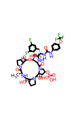 C[C@@H]1NC(O)[C@@H]2CCCCN2C(=O)[C@@H]2C[C@@H](OP(=O)(O)O)CN2C(=O)[C@@H](NC(O)[C@H](Cc2cc(F)cc(F)c2)NC(=O)Nc2ccc(OC(F)(F)F)cc2)[C@H](C)OC(=O)[C@@H]2CCCN2C1=O